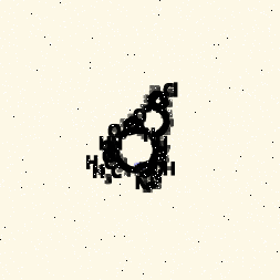 C[C@@H]1[C@@H](C)C/C=C/[C@](O)(c2cnccn2)[C@@H]2CC[C@H]2CN2CCCCc3cc(Cl)ccc3COc3ccc(cc32)C(=O)NS1(=O)=O